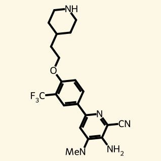 CNc1cc(-c2ccc(OCCC3CCNCC3)c(C(F)(F)F)c2)nc(C#N)c1N